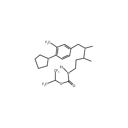 CCN(CCC(C)N(C)Cc1ccc(N2CCCC2)c(C(F)(F)F)c1)C(=O)OC(C(F)(F)F)C(F)(F)F